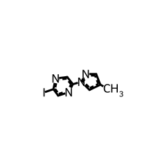 Cc1cnn(-c2cnc(I)cn2)c1